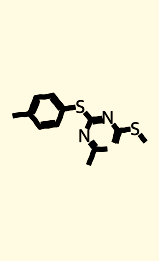 C=C(/N=C(\N=C(C)C)Sc1ccc(C)cc1)SC